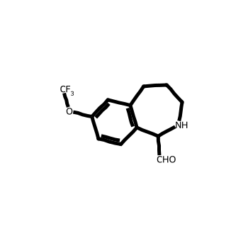 O=CC1NCCCc2cc(OC(F)(F)F)ccc21